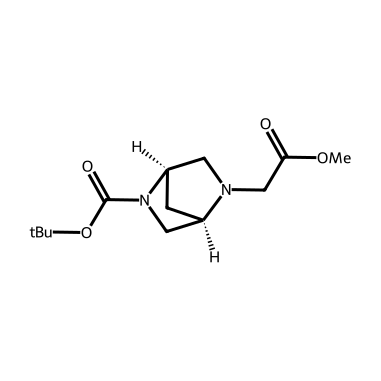 COC(=O)CN1C[C@H]2C[C@@H]1CN2C(=O)OC(C)(C)C